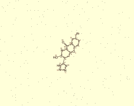 CC(C)c1ccc2oc3cc(-c4nnn[nH]4)c(O)nc3c(=O)c2c1